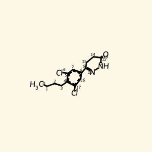 CCCCc1c(Cl)cc(C2=NNC(=O)CC2)cc1Cl